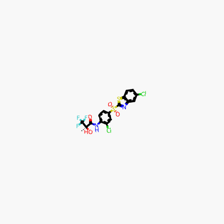 C[C@@](O)(C(=O)Nc1ccc(S(=O)(=O)c2nc3cc(Cl)ccc3s2)cc1Cl)C(F)(F)F